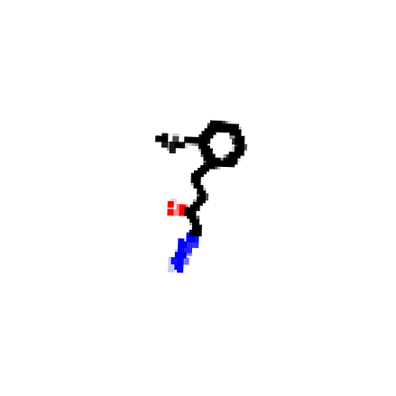 Cc1ccccc1CCC(=O)C=[N+]=[N-]